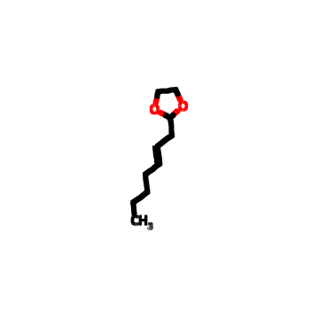 CCCCC=CCC1OCCO1